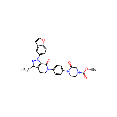 CCOC(=O)c1nn(-c2ccc3occc3c2)c2c1CCN(c1ccc(N3CCN(C(=O)OC(C)(C)C)CC3=O)cc1)C2=O